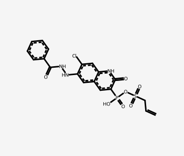 C=CCS(=O)(=O)OP(=O)(O)c1cc2cc(NNC(=O)c3ccccc3)c(Cl)cc2[nH]c1=O